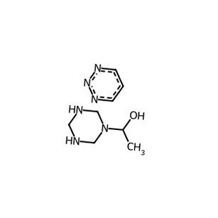 CC(O)N1CNCNC1.c1cnnnc1